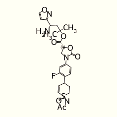 CC(=O)N=S1(=O)C=CC(c2ccc(N3C[C@H](C(=O)OC(C)(C)CC(N)c4ccon4)OC3=O)cc2F)CC1